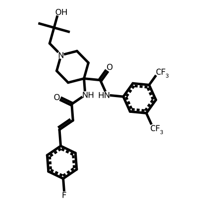 CC(C)(O)CN1CCC(NC(=O)C=Cc2ccc(F)cc2)(C(=O)Nc2cc(C(F)(F)F)cc(C(F)(F)F)c2)CC1